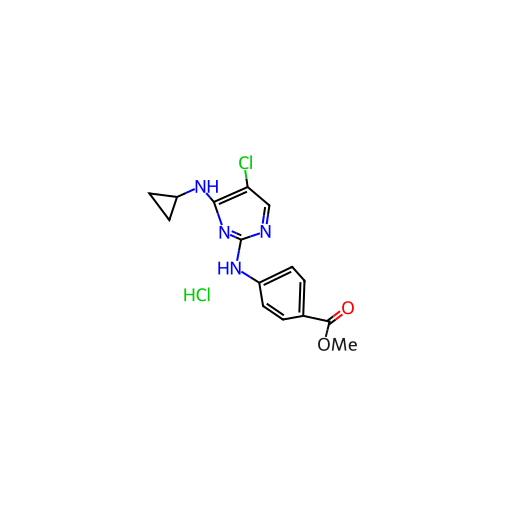 COC(=O)c1ccc(Nc2ncc(Cl)c(NC3CC3)n2)cc1.Cl